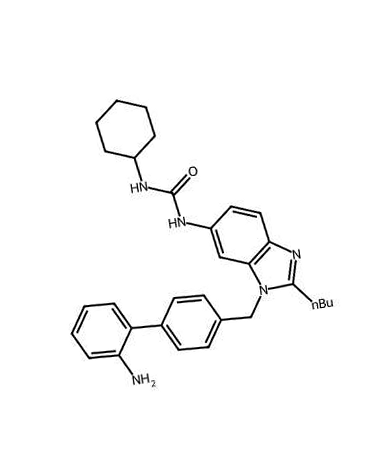 CCCCc1nc2ccc(NC(=O)NC3CCCCC3)cc2n1Cc1ccc(-c2ccccc2N)cc1